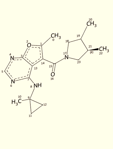 Cc1oc2ncnc(NC3(C)CC3)c2c1C(=O)N1CC(C)[C@@H](C)C1